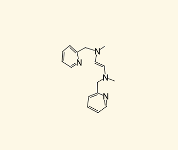 CN(/C=C/N(C)Cc1ccccn1)Cc1ccccn1